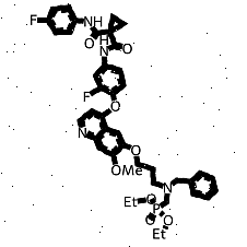 CCOP(=O)(CN(CCCOc1cc2c(Oc3ccc(NC(=O)C4(C(=O)Nc5ccc(F)cc5)CC4)cc3F)ccnc2cc1OC)Cc1ccccc1)OCC